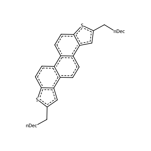 CCCCCCCCCCCc1cc2c(ccc3c2ccc2c4cc(CCCCCCCCCCC)sc4ccc23)s1